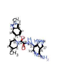 C[C@H]1CC[C@H](c2ccc3cn(C)nc3c2)N(C(=O)C(=O)Nc2cnc(N)c3cn[nH]c23)C1